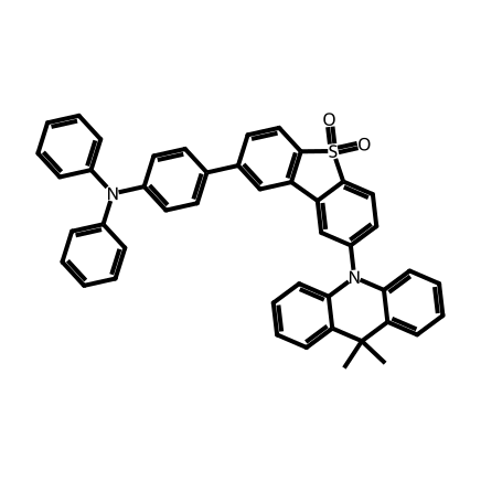 CC1(C)c2ccccc2N(c2ccc3c(c2)-c2cc(-c4ccc(N(c5ccccc5)c5ccccc5)cc4)ccc2S3(=O)=O)c2ccccc21